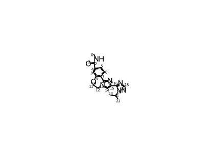 CNC(=O)c1ccc2c(c1)OCCn1cc(-c3ncnn3C(C)C)nc1-2